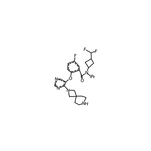 CC(C)N(C(=O)c1cc(F)ccc1Oc1cncnc1N1CC2(CCNCC2)C1)C1CC(C(F)F)C1